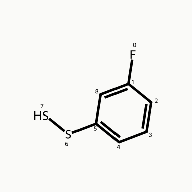 Fc1cccc(SS)c1